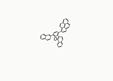 c1ccc2cc(-c3ccc(-c4ccc5ccc6cccc7ccc4c5c67)c4c3oc3c5ccccc5ccc34)ccc2c1